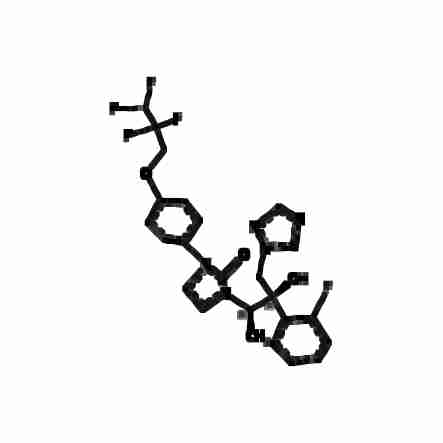 C[C@@H](n1ccn(-c2ccc(OCC(F)(F)C(F)F)cc2)c1=O)[C@](O)(Cn1cncn1)c1ccccc1F